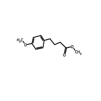 COC(=O)CCCc1ccc(OC)cc1